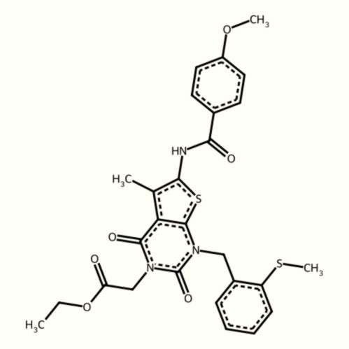 CCOC(=O)Cn1c(=O)c2c(C)c(NC(=O)c3ccc(OC)cc3)sc2n(Cc2ccccc2SC)c1=O